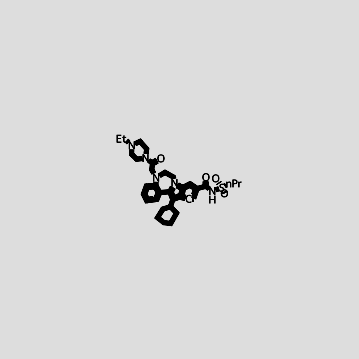 CCCS(=O)(=O)NC(=O)c1ccc2c(C3CCCCC3)c3n(c2c1)CCN(CC(=O)N1CCN(CC)CC1)c1ccccc1-3